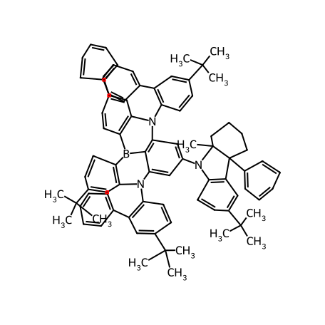 CC(C)(C)c1ccc(N2c3cc(-c4ccccc4)ccc3B3c4ccc(C(C)(C)C)cc4N(c4ccc(C(C)(C)C)cc4-c4ccccc4)c4cc(N5c6ccc(C(C)(C)C)cc6C6(c7ccccc7)CCCCC56C)cc2c43)c(-c2ccccc2)c1